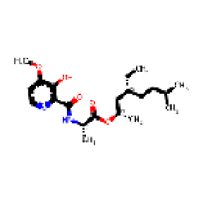 CC[C@H](CCC(C)C)C[C@H](C)OC(=O)[C@H](C)NC(=O)c1nccc(OC)c1O